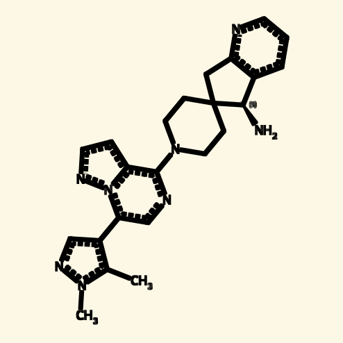 Cc1c(-c2cnc(N3CCC4(CC3)Cc3ncccc3[C@H]4N)c3ccnn23)cnn1C